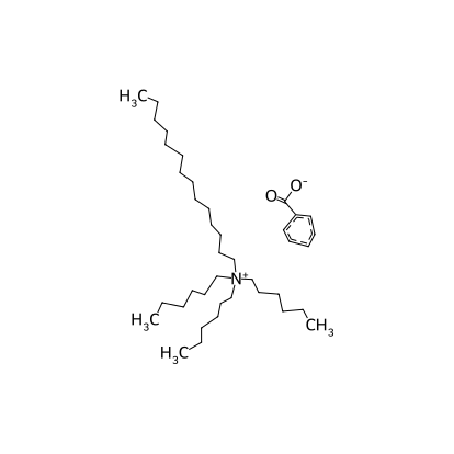 CCCCCCCCCCCCCC[N+](CCCCCC)(CCCCCC)CCCCCC.O=C([O-])c1ccccc1